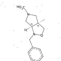 C[C@]12CON(Cc3ccccc3)[C@H]1CN(C(=O)O)C2